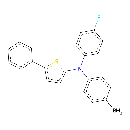 Bc1ccc(N(c2ccc(F)cc2)c2ccc(-c3ccccc3)s2)cc1